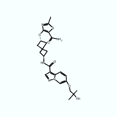 Cc1nc(O[C@H]2CC3(C[C@H](NC(=O)c4cnn5cc(OCC(C)(C)O)ccc45)C3)C2)c(C(N)=O)s1